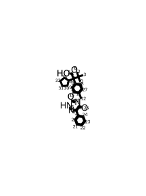 CC(C)(C)C(C(=O)O)(c1ccc(Cn2c(=O)[nH]nc(-c3ccccc3)c2=O)cc1)C1CCCC1